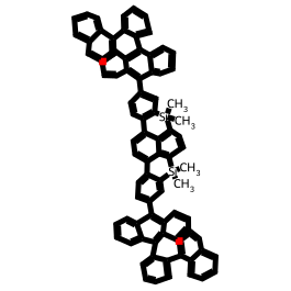 C[Si]1(C)c2cc(-c3c4ccccc4c(-c4ccccc4-c4cccc5ccccc45)c4ccccc34)ccc2-c2ccc3c4c(ccc1c24)[Si](C)(C)c1cc(-c2c4ccccc4c(-c4ccccc4-c4cccc5ccccc45)c4ccccc24)ccc1-3